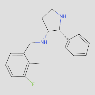 Cc1c(F)cccc1CN[C@@H]1CCN[C@@H]1c1ccccc1